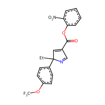 CCC1(c2ccc(OC(F)(F)F)cc2)C=C(C(=O)Oc2ccccc2[N+](=O)[O-])C=N1